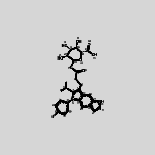 CC(C)c1c(CCC(=O)OC2O[C@@H](C(=O)O)[C@H](O)[C@@H](O)[C@@H]2O)c2cc3[nH]ncc3cc2n1-c1ccc(F)cc1